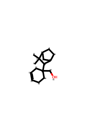 CC1(C)C2CCC(C2)C1C1(CO)CC=CCC1